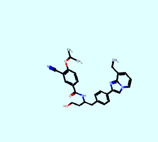 CCc1cccn2cc(-c3ccc(CC(CCO)NC(=O)c4ccc(OC(C)C)c(C#N)c4)cc3)nc12